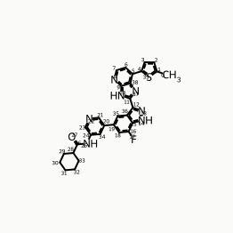 Cc1ccc(-c2ccnc3[nH]c(-c4n[nH]c5c(F)cc(-c6cncc(NC(=O)C7CCCCC7)c6)cc45)nc23)s1